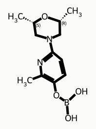 Cc1nc(N2C[C@@H](C)O[C@@H](C)C2)ccc1OB(O)O